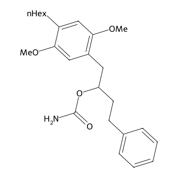 CCCCCCc1cc(OC)c(CC(CCc2ccccc2)OC(N)=O)cc1OC